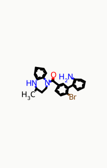 CC1CCN(C(=O)c2ccc(Br)c(-c3ccccc3N)c2)c2ccccc2N1